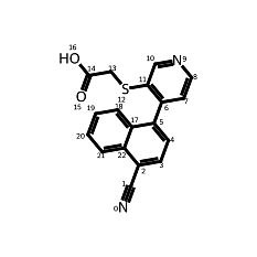 N#Cc1ccc(-c2ccncc2SCC(=O)O)c2ccccc12